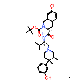 CC(C)[C@@H](CN1CCC(C)(c2cccc(O)c2)C(C)C1)NC(=O)[C@@H]1CC2C=CC(O)=CC2CN1C(=O)OC(C)(C)C